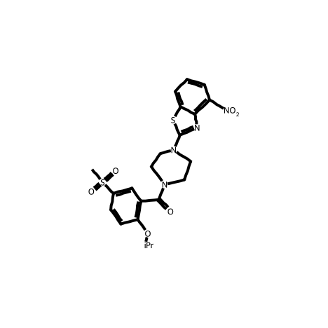 CC(C)Oc1ccc(S(C)(=O)=O)cc1C(=O)N1CCN(c2nc3c([N+](=O)[O-])cccc3s2)CC1